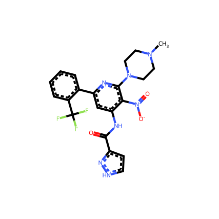 CN1CCN(c2nc(-c3ccccc3C(F)(F)F)cc(NC(=O)c3cc[nH]n3)c2[N+](=O)[O-])CC1